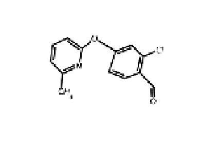 Cc1cccc(Oc2ccc(C=O)c(Cl)c2)n1